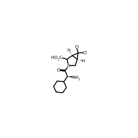 N[C@H](C(=O)N1C[C@H]2[C@@H](C1C(=O)O)C2(Cl)Cl)C1CCCCC1